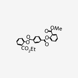 CCOC(=O)c1ccccc1OC(=O)c1ccc(C(=O)Oc2ccccc2C(=O)OC)cc1